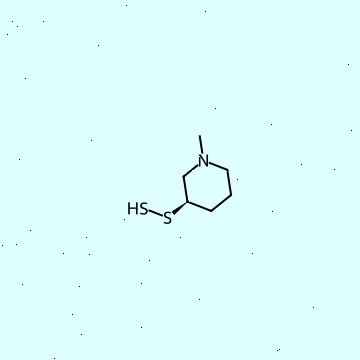 CN1CCC[C@@H](SS)C1